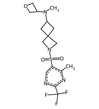 Cc1nc(C(F)(F)F)ncc1S(=O)(=O)N1CC2(CC(N(C)C3COC3)C2)C1